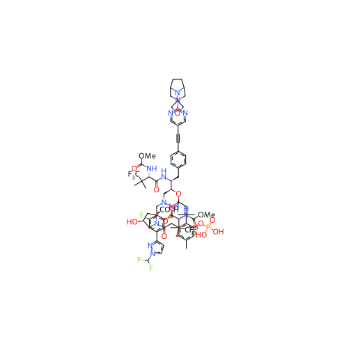 COC(=O)N[C@H](C(=O)N[C@@H](Cc1ccc(C#Cc2cnc(N3CC4CCC(C3)N4C3COC3)nc2)cc1)[C@H](CN(Cc1c(F)cc(-c2ccn(C(F)F)n2)cc1F)NC(=O)[C@@H](NC(=O)OC)C(C)(C)C(F)(F)F)OC(=O)CC(C)(C)c1c(CC(=O)N2C[C@@H](O)C[C@H]2C(=O)O)cc(C)cc1OP(=O)(O)O)C(C)(C)C(F)(F)F